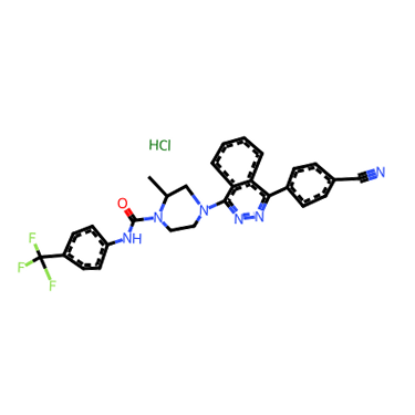 CC1CN(c2nnc(-c3ccc(C#N)cc3)c3ccccc23)CCN1C(=O)Nc1ccc(C(F)(F)F)cc1.Cl